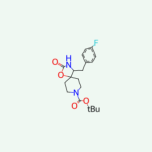 CC(C)(C)OC(=O)N1CCC2(CC1)OC(=O)NC2Cc1ccc(F)cc1